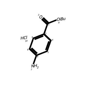 CC(C)COC(=O)c1ccc(N)cc1.Cl